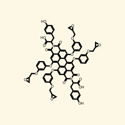 O=C(O)C(Cc1ccc(O)cc1)N1C(=O)c2cc(Oc3cccc(OCC4CO4)c3)c3c4c(Oc5cccc(OCC6CO6)c5)cc5c6c(cc(Oc7cccc(OCC8CO8)c7)c(c7c(Oc8cccc(OCC9CO9)c8)cc(c2c37)C1=O)c64)C(=O)N(C(Cc1ccc(O)cc1)C(=O)O)C5=O